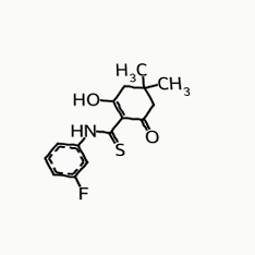 CC1(C)CC(=O)C(C(=S)Nc2cccc(F)c2)=C(O)C1